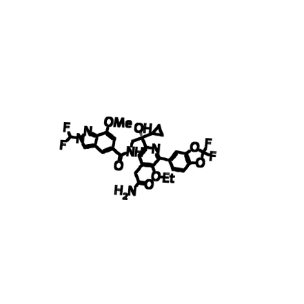 CCOc1c(CC(N)=O)cc([C@@](O)(CNC(=O)c2cc(OC)c3nn(C(F)F)cc3c2)C2CC2)nc1-c1ccc2c(c1)OC(F)(F)O2